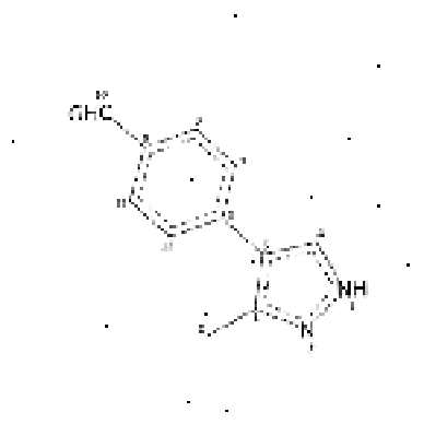 Cc1n[nH]cc1-c1ccc(C=O)cc1